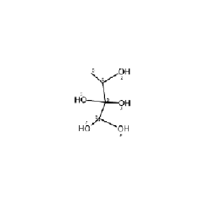 CC(O)C(O)(O)[C](O)O